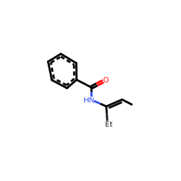 CC=C(CC)NC(=O)c1ccccc1